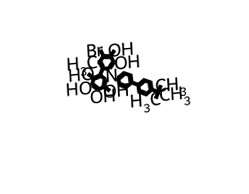 Cc1c(Br)c(O)c(O)c2c1c1c(O)c(O)c(O)c(O)c1n2-c1ccc(-c2ccc(C(C)(C)C)cc2)cc1